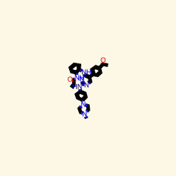 C=CC(=O)Nc1ccccc1Nc1nc(Nc2ccc(N3CCN(C)CC3)cc2)ncc1-c1ccc(C(C)=O)cc1